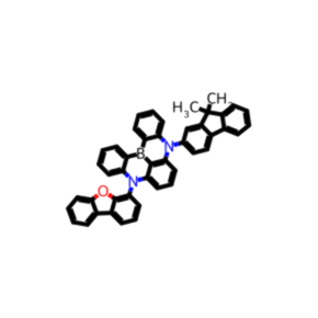 CC1(C)c2ccccc2-c2ccc(N3c4ccccc4B4c5ccccc5N(c5cccc6c5oc5ccccc56)c5cccc3c54)cc21